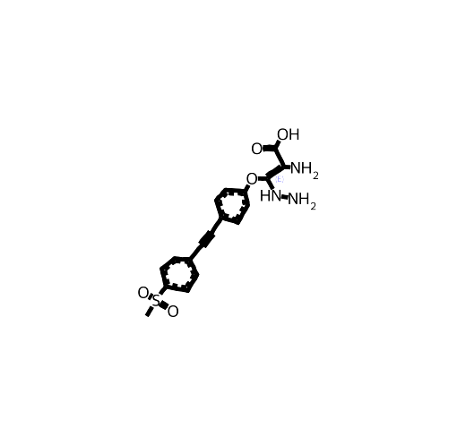 CS(=O)(=O)c1ccc(C#Cc2ccc(O/C(NN)=C(/N)C(=O)O)cc2)cc1